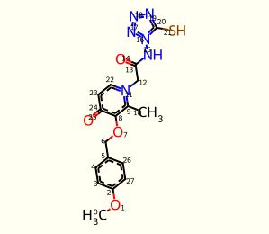 COc1ccc(COc2c(C)n(CC(=O)Nn3nnnc3S)ccc2=O)cc1